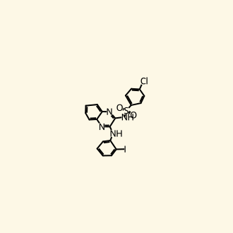 O=S(=O)(Nc1nc2ccccc2nc1Nc1ccccc1I)c1ccc(Cl)cc1